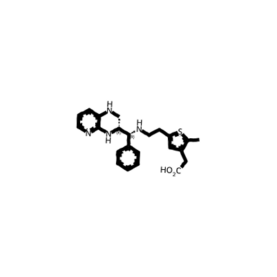 Cc1sc(CCN[C@H](c2ccccc2)[C@H]2CNc3cccnc3N2)cc1CC(=O)O